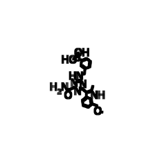 COCc1cccc2c(-c3nc(NCc4cccc(B(O)O)c4)nc(C(N)=O)n3)c(C)[nH]c12